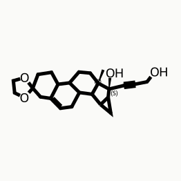 C[C@]12CCC3C4CCC5(CC4=CCC3C1C1CC1[C@@]2(O)C#CCO)OCCO5